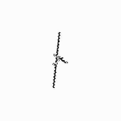 CCCCCCCCCCCCCCCC(=O)OCC(COC(=O)CCCCCCCCCCCCCCC)OC(=O)C(C)CCC=O